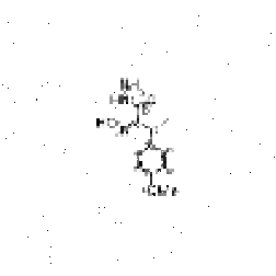 COc1ccc(C(C)C(=NO)C(=O)NN)cc1